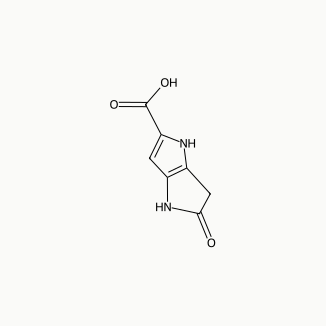 O=C1Cc2[nH]c(C(=O)O)cc2N1